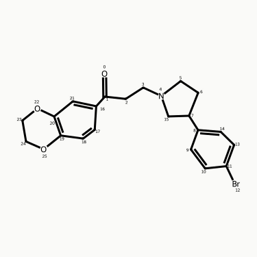 O=C(CCN1CCC(c2ccc(Br)cc2)C1)c1ccc2c(c1)OCCO2